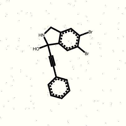 OC1(C#Cc2ccccc2)NCc2cc(Br)c(Br)cc21